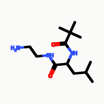 CC(C)CC(NC(=O)C(C)(C)C)C(=O)NCCN